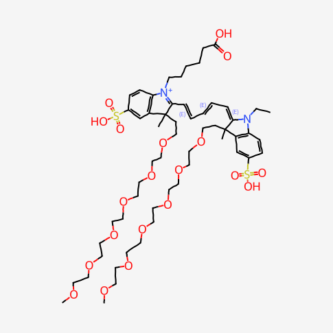 CCN1/C(=C/C=C/C=C/C2=[N+](CCCCCC(=O)O)c3ccc(S(=O)(=O)O)cc3C2(C)CCOCCOCCOCCOCCOCCOC)C(C)(CCOCCOCCOCCOCCOCCOC)c2cc(S(=O)(=O)O)ccc21